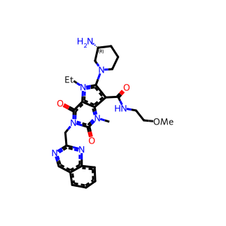 CCn1c(N2CCC[C@@H](N)C2)c(C(=O)NCCOC)c2c1c(=O)n(Cc1ncc3ccccc3n1)c(=O)n2C